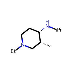 CCN1CC[C@H](NC(C)C)[C@H](C)C1